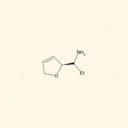 CCC(N)[C@@H]1C=CCO1